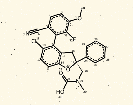 COc1ccc(C#N)c(-c2c(Cl)ccc3c2C[C@@](CN(C)C(=O)O)(c2ccccc2)O3)c1F